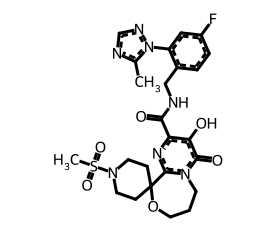 Cc1ncnn1-c1cc(F)ccc1CNC(=O)c1nc2n(c(=O)c1O)CCCOC21CCN(S(C)(=O)=O)CC1